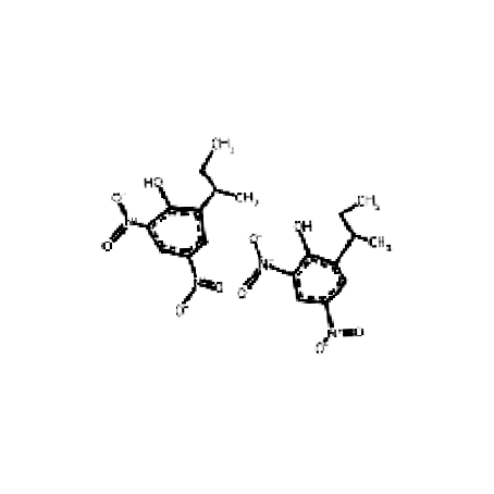 CCC(C)c1cc([N+](=O)[O-])cc([N+](=O)[O-])c1O.CCC(C)c1cc([N+](=O)[O-])cc([N+](=O)[O-])c1O